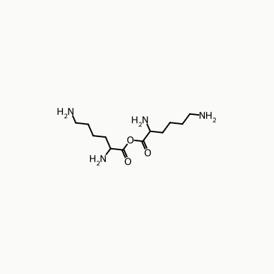 NCCCCC(N)C(=O)OC(=O)C(N)CCCCN